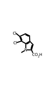 Cn1c(C(=O)O)cc2ccc(Cl)c(Cl)c21